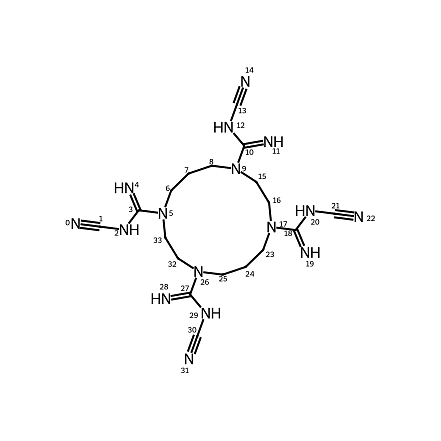 N#CNC(=N)N1CCCN(C(=N)NC#N)CCN(C(=N)NC#N)CCCN(C(=N)NC#N)CC1